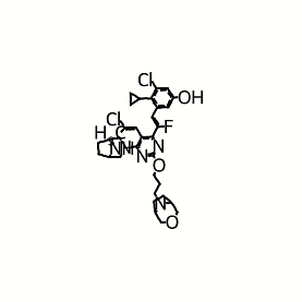 C/C(Cl)=C\c1c(/C(F)=C/c2cc(O)cc(Cl)c2C2CC2)nc(OCCCN2C3CCC2COC3)nc1N1CC2CCC(C1)N2